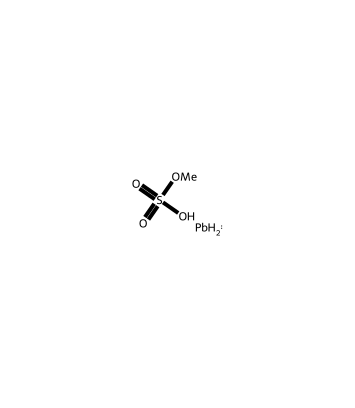 COS(=O)(=O)O.[PbH2]